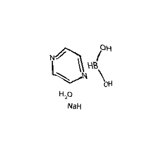 O.OBO.[NaH].c1cnccn1